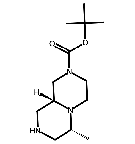 C[C@@H]1CNC[C@@H]2CN(C(=O)OC(C)(C)C)CCN21